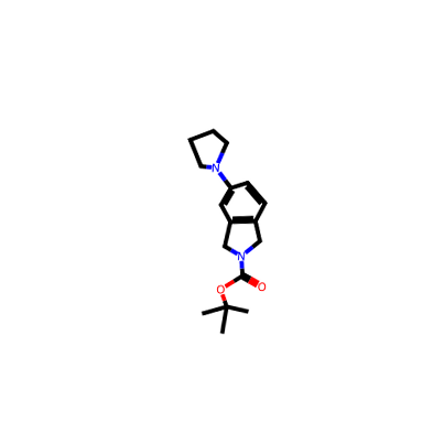 CC(C)(C)OC(=O)N1Cc2ccc(N3CCCC3)cc2C1